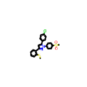 CSc1ccccc1-c1cc(-c2ccc(Cl)cc2)n(-c2ccc(S(C)(=O)=O)cc2)n1